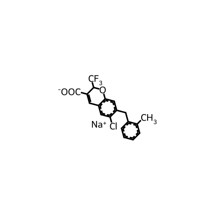 Cc1ccccc1Cc1cc2c(cc1Cl)C=C(C(=O)[O-])C(C(F)(F)F)O2.[Na+]